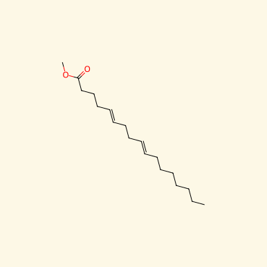 CCCCCCCC=CCCC=CCCCC(=O)OC